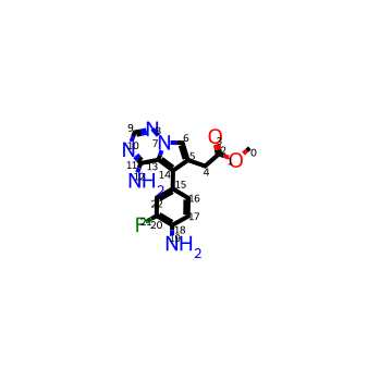 COC(=O)Cc1cn2ncnc(N)c2c1-c1ccc(N)c(F)c1